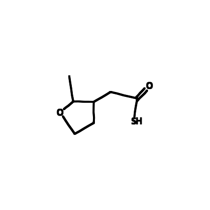 CC1OCCC1CC(=O)S